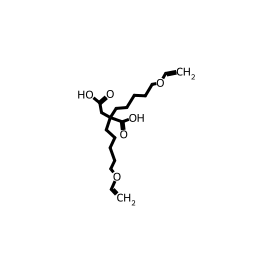 C=COCCCCCC(CCCCCOC=C)(CC(=O)O)C(=O)O